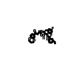 CCc1cccc(CNC[C@H](O)[C@H](Cc2cc(F)cc(F)c2)NC(=O)CCC(=O)c2ccc3c(c2)OCCCO3)c1